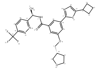 C[C@@H](NC(=O)c1cc(OC[C@@H]2CCOC2)cc(-c2ncc(C3CCC3)s2)c1)c1ccc(C(F)(F)F)nn1